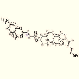 CC(C)CCCC(C)C1CCC2C3CC=C4CC(OC(=O)/C=C/C(=O)Oc5cc(N)ccc5N)CCC4(C)C3CCC12C